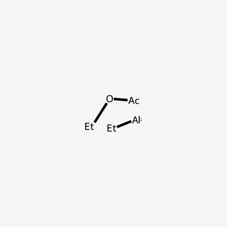 CCOC(C)=O.C[CH2][Al]